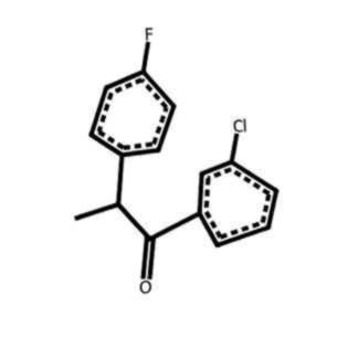 CC(C(=O)c1cccc(Cl)c1)c1ccc(F)cc1